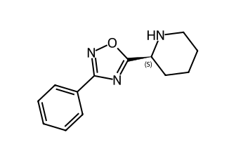 c1ccc(-c2noc([C@@H]3CCCCN3)n2)cc1